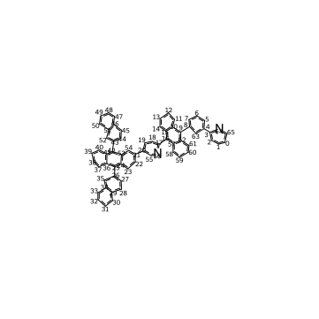 c1ccc(-c2cccc(-c3c4ccccc4c(-c4ccc(-c5ccc6c(-c7ccc8ccccc8c7)c7ccccc7c(-c7ccc8ccccc8c7)c6c5)cn4)c4ccccc34)c2)nc1